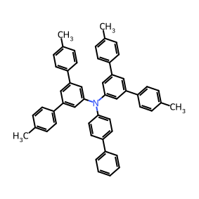 Cc1ccc(-c2cc(-c3ccc(C)cc3)cc(N(c3ccc(-c4ccccc4)cc3)c3cc(-c4ccc(C)cc4)cc(-c4ccc(C)cc4)c3)c2)cc1